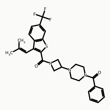 CC(C)=Cc1c(C(=O)N2CC(N3CCN(C(=O)c4ccccc4)CC3)C2)sc2cc(C(F)(F)F)ccc12